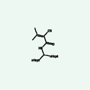 CCCCCCCC(BC(=O)C(C#N)=C(C)C)CCCCCCC